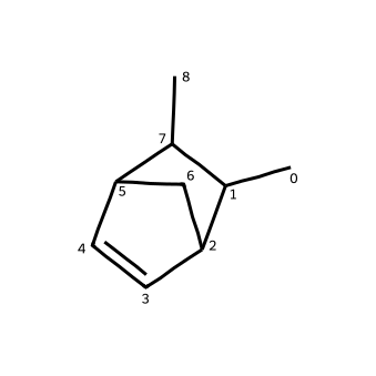 CC1C2C=CC(C2)C1C